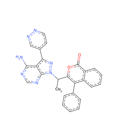 CC(c1oc(=O)c2ccccc2c1-c1ccccc1)n1nc(-c2ccnnc2)c2c(N)ncnc21